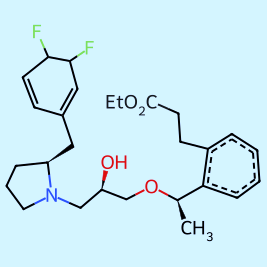 CCOC(=O)CCc1ccccc1[C@@H](C)OC[C@H](O)CN1CCC[C@H]1CC1=CC(F)C(F)C=C1